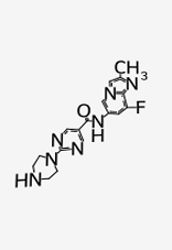 Cc1cn2cc(NC(=O)c3cnc(N4CCNCC4)nc3)cc(F)c2n1